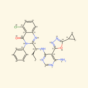 CC[C@H](Nc1ncnc(N)c1-c1nnc(C2CC2)o1)c1nc2cccc(Cl)c2c(=O)n1-c1ccccc1